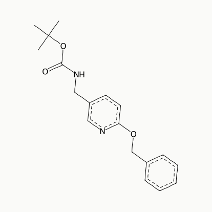 CC(C)(C)OC(=O)NCc1ccc(OCc2ccccc2)nc1